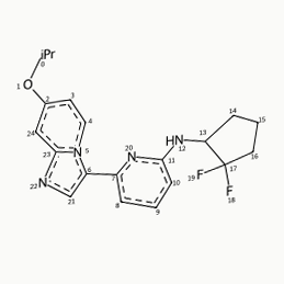 CC(C)Oc1ccn2c(-c3cccc(NC4CCCC4(F)F)n3)cnc2c1